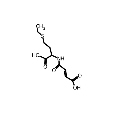 CCSCCC(NC(=O)/C=C/C(=O)O)C(=O)O